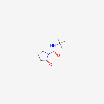 CC(C)(C)NC(=O)N1[CH]CCC1=O